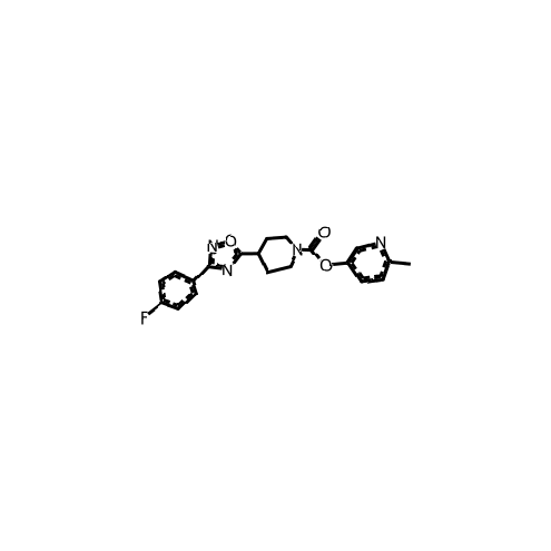 Cc1ccc(OC(=O)N2CCC(c3nc(-c4ccc(F)cc4)no3)CC2)cn1